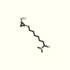 CCCCCCCC[C@@H]1C[C@@H]1CCCCCCCC(CC)N(C)C